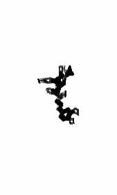 C=C1C(O)=C(C(=O)NCCCc2ccc(Cl)c(Cl)c2)CN1C1CC1